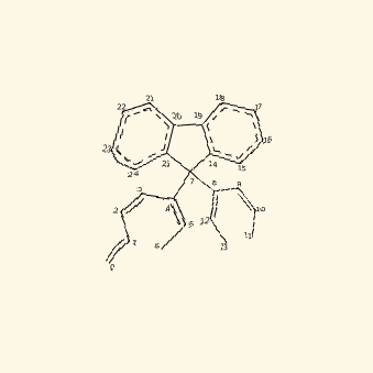 C=C/C=C\C(=C/C)C1(C(/C=C\C)=C/C)c2ccccc2-c2ccccc21